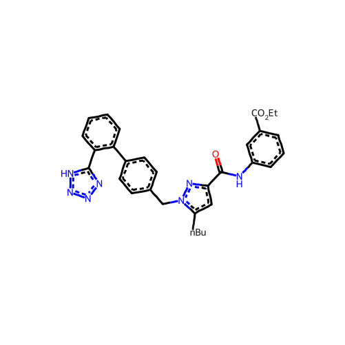 CCCCc1cc(C(=O)Nc2cccc(C(=O)OCC)c2)nn1Cc1ccc(-c2ccccc2-c2nnn[nH]2)cc1